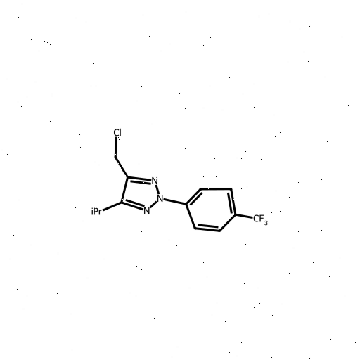 CC(C)c1nn(-c2ccc(C(F)(F)F)cc2)nc1CCl